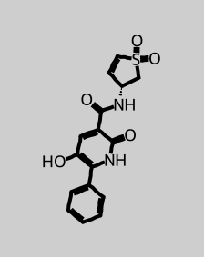 O=C(N[C@@H]1C=CS(=O)(=O)C1)c1cc(O)c(-c2ccccc2)[nH]c1=O